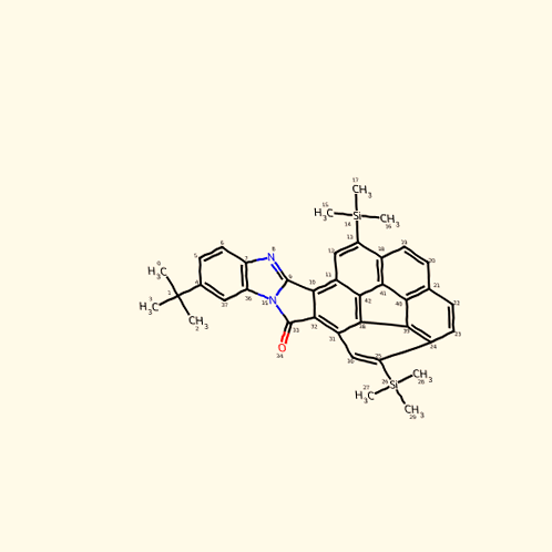 CC(C)(C)c1ccc2nc3c4c5cc([Si](C)(C)C)c6ccc7ccc8c([Si](C)(C)C)cc(c4c(=O)n3c2c1)c1c8c7c6c51